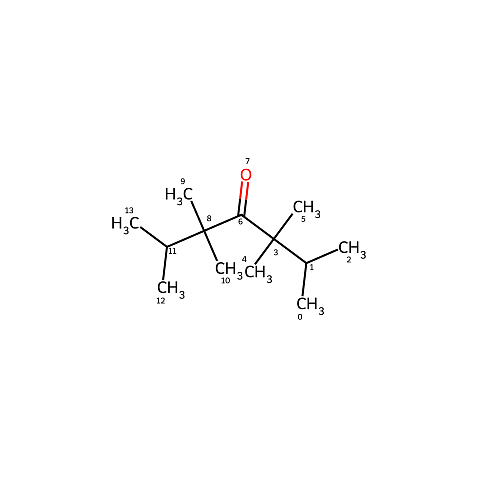 CC(C)C(C)(C)C(=O)C(C)(C)C(C)C